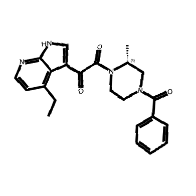 CCc1ccnc2[nH]cc(C(=O)C(=O)N3CCN(C(=O)c4ccccc4)C[C@H]3C)c12